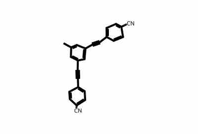 Cc1cc(C#Cc2ccc(C#N)cc2)cc(C#Cc2ccc(C#N)cc2)c1